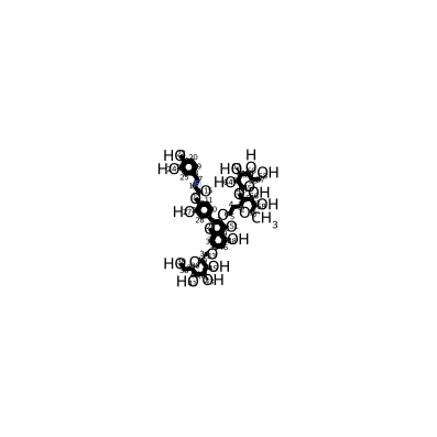 CC1OC(CCOc2c(-c3ccc(OC(=O)/C=C/c4ccc(O)c(O)c4)c(O)c3)oc3cc(OC[C@@H]4OC(CO)[C@@H](O)[C@H](O)C4O)cc(O)c3c2=O)C(O[C@@H]2OC(CO)[C@@H](O)[C@H](O)C2O)C(O)C1O